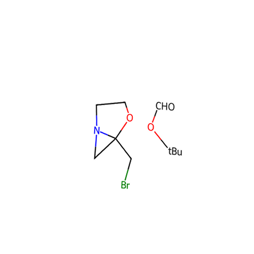 BrCC12CN1CCO2.CC(C)(C)OC=O